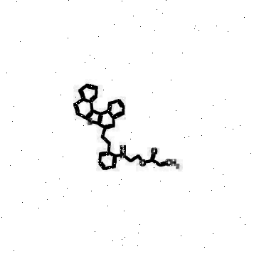 C=CC(=O)OCCNc1ccccc1CCc1cc2ccccc2c2c1sc1ccc3ccccc3c12